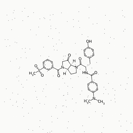 CN(C)c1ccc(C(=O)N[C@@H](Cc2ccc(O)cc2)C(=O)N2CC[C@@H]3[C@H]2C(=O)CN3C(=O)c2cccc(S(C)(=O)=O)c2)cc1